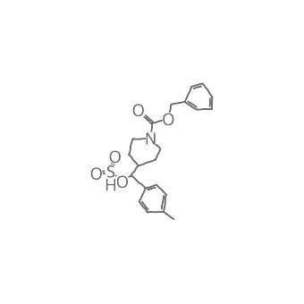 Cc1ccc(C(O[SH](=O)=O)C2CCN(C(=O)OCc3ccccc3)CC2)cc1